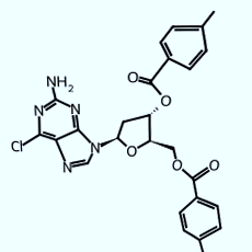 Cc1ccc(C(=O)OC[C@H]2O[C@@H](n3cnc4c(Cl)nc(N)nc43)C[C@@H]2OC(=O)c2ccc(C)cc2)cc1